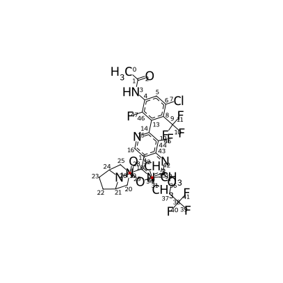 CC(=O)Nc1cc(Cl)c(C(F)(F)F)c(-c2ncc3c(N4CC5CCC(C4)N5C(=O)OC(C)(C)C)nc(OCC(F)(F)F)nc3c2F)c1F